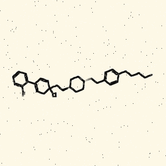 CCCCCc1ccc(CC[C@H]2CC[C@H](CCC3(Cl)C=CC(c4ccccc4F)=CC3)CC2)cc1